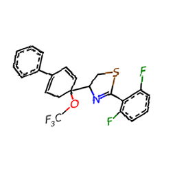 Fc1cccc(F)c1C1=NC(C2(OC(F)(F)F)C=CC(c3ccccc3)=CC2)CS1